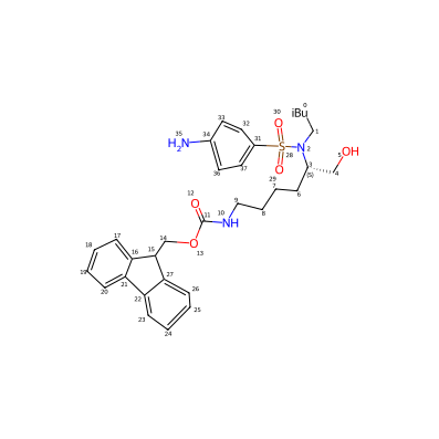 CCC(C)CN([C@H](CO)CCCCNC(=O)OCC1c2ccccc2-c2ccccc21)S(=O)(=O)c1ccc(N)cc1